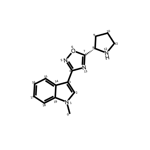 Cn1cc(-c2noc([C@@H]3CCCN3)n2)c2ccccc21